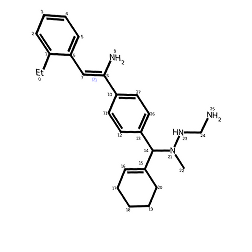 CCc1ccccc1/C=C(\N)c1ccc(C(C2=CCCCC2)N(C)NCN)cc1